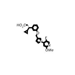 COc1cc(-n2ccc(COc3cccc([C@@H](CC(=O)O)C4CC4)c3)c2)c(F)cn1